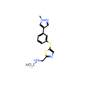 Cn1cc(-c2cccc(Sc3cnc(CNC(=O)O)s3)c2)cn1